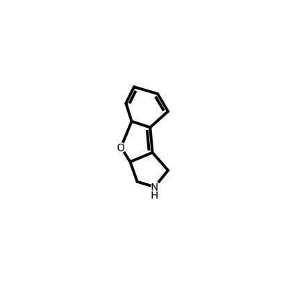 C1=CC2=C3CNCC3OC2C=C1